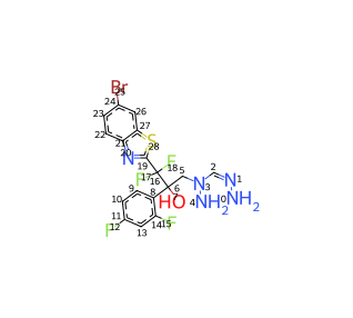 N/N=C\N(N)CC(O)(c1ccc(F)cc1F)C(F)(F)c1nc2ccc(Br)cc2s1